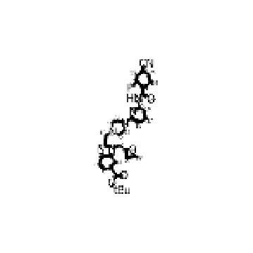 CC(C)(C)OC(=O)c1ccc2nc(CN3CCN(c4cccc(NC(=O)c5ccc(C#N)cc5F)n4)CC3)n(C[C@@H]3CCO3)c2c1